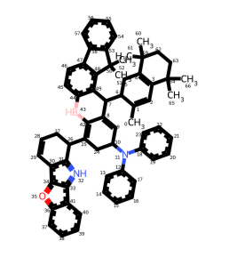 CC1=CC2=C(CC1C1C3=CC(N(c4ccccc4)c4ccccc4)CC(C4CC=Cc5c4[nH]c4c5oc5ccccc54)=C3Bc3ccc4c(c31)C(C)(C)c1ccccc1-4)C(C)(C)CCC2(C)C